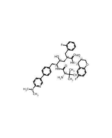 CN(C)c1ccc(-c2ccc(C[C@H](NC(=O)[C@@H](N)C(C)(C)C)[C@@H](O)C[C@@H](Cc3ccccc3F)C(=O)N[C@H]3c4cc(F)ccc4OC[C@H]3O)cc2)cn1